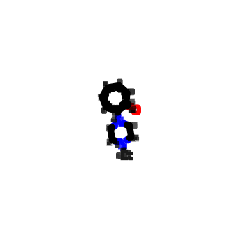 CCN1CCN(c2cccccc2=O)CC1